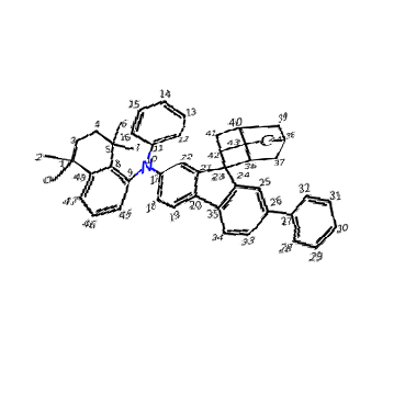 CC1(C)CCC(C)(C)c2c(N(c3ccccc3)c3ccc4c(c3)C3(c5cc(-c6ccccc6)ccc5-4)C4CC5CC6CC3C64C5)cccc21